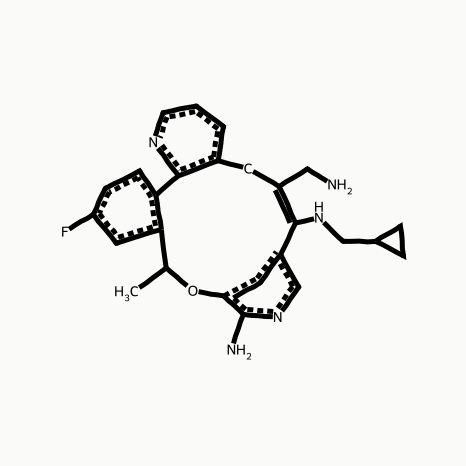 CC1Oc2cc(cnc2N)/C(NCC2CC2)=C(/CN)Cc2cccnc2-c2ccc(F)cc21